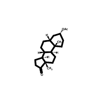 CC(=O)O[C@@H]1CC[C@@]2(C)[C@H](CC[C@@H]3[C@@H]2CC[C@]2(C)C(=O)CC[C@@H]32)C1